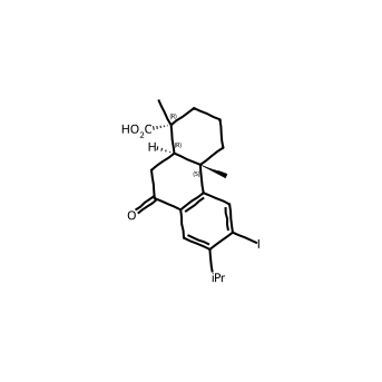 CC(C)c1cc2c(cc1I)[C@@]1(C)CCC[C@@](C)(C(=O)O)[C@@H]1CC2=O